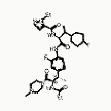 CCC(=O)N[C@@H](C(=O)N1CCN(C)CC1)[C@@H](C)c1ccc(NC(=O)C(NC(=O)c2ccnn2CC)C(C)C2CCC(F)CC2)c(F)c1